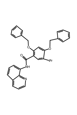 CC(C)c1cc(C(=O)Nc2cccc3cccnc23)c(OCc2ccccc2)cc1OCc1ccccc1